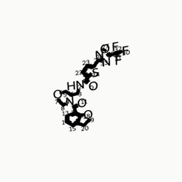 O=C(NCC1COCCN1C(=O)c1cccc2c1OCC2)c1ccc(-c2noc(C(F)(F)F)n2)s1